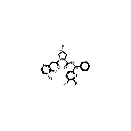 CCn1ccnc(CC(=O)N2C[C@H](F)C[C@H]2C(=O)N[C@@H](c2ccccc2)c2ccc(C(C)C)c(F)n2)c1=O